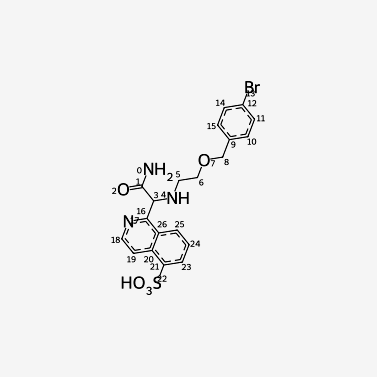 NC(=O)C(NCCOCc1ccc(Br)cc1)c1nccc2c(S(=O)(=O)O)cccc12